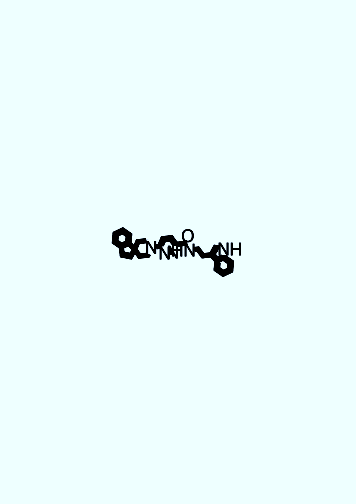 O=C(NCCc1c[nH]c2ccccc12)c1ccc(N2CCC3(C=Cc4ccccc43)CC2)nn1